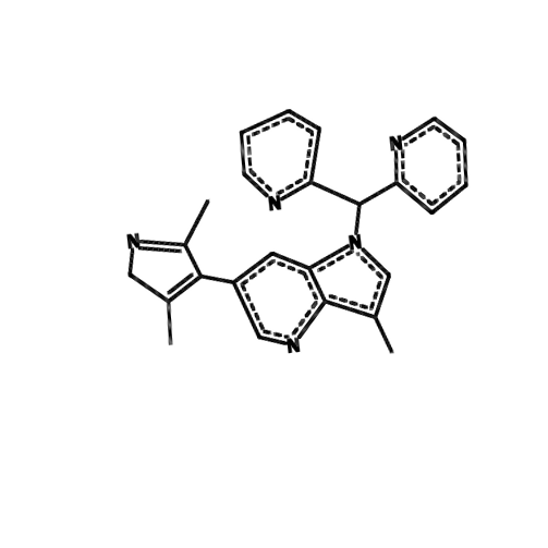 CC1=NCC(C)=C1c1cnc2c(C)cn(C(c3ccccn3)c3ccccn3)c2c1